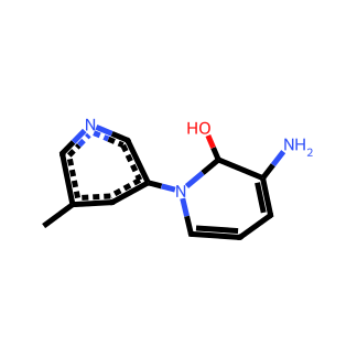 Cc1cncc(N2C=CC=C(N)C2O)c1